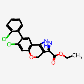 CCOC(=O)c1n[nH]c2c1COc1cc(Cl)c(-c3ccccc3Cl)cc1-2